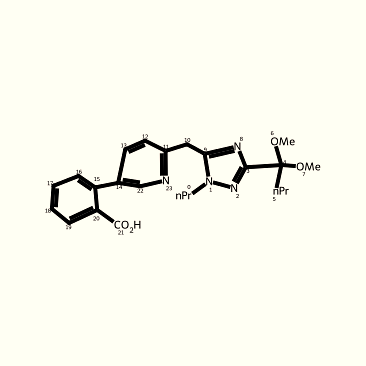 CCCn1nc(C(CCC)(OC)OC)nc1Cc1ccc(-c2ccccc2C(=O)O)cn1